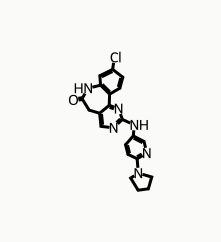 O=C1Cc2cnc(Nc3ccc(N4CCCC4)nc3)nc2-c2ccc(Cl)cc2N1